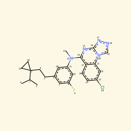 CC(C)C1(CCc2cc(F)cc(N(C)c3nc4nncn4c4cc(Cl)ccc34)c2)CC1